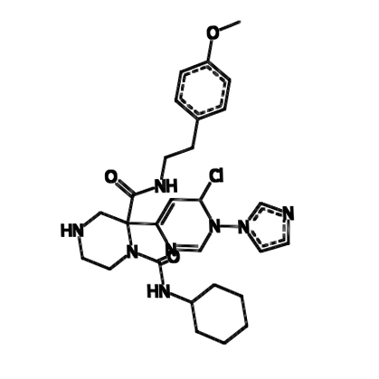 COc1ccc(CCNC(=O)C2(C3=CC(Cl)N(n4ccnc4)C=N3)CNCCN2C(=O)NC2CCCCC2)cc1